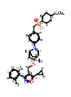 CC(=O)OC1CCC(S(=O)(=O)Cc2ccc(N3C[C@@H]4C[C@H]3C[C@H]4OCc3c(-c4c(Cl)cccc4Cl)noc3C3CC3)cc2)CC1